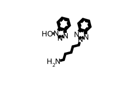 NCCCCCn1nc2ccccc2n1.On1nnc2ccccc21